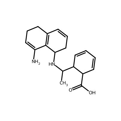 CC(NC1CC=CC2=C1C(N)=CCC2)C1C=CC=CC1C(=O)O